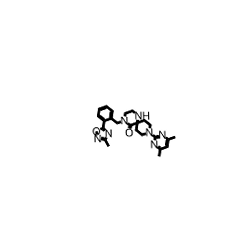 Cc1cc(C)nc(N2CCC3(CC2)NCCN(Cc2ccccc2-c2nc(C)no2)C3=O)n1